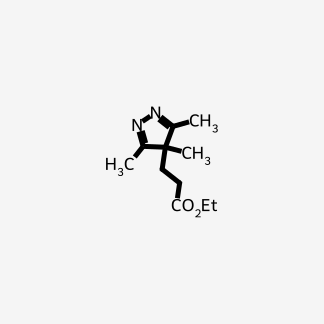 CCOC(=O)CCC1(C)C(C)=NN=C1C